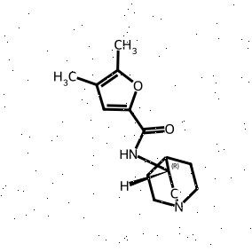 Cc1cc(C(=O)N[C@H]2CN3CCC2CC3)oc1C